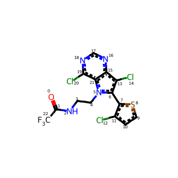 O=C(NCCn1c(-c2sccc2Cl)c(Cl)c2ncnc(Cl)c21)C(F)(F)F